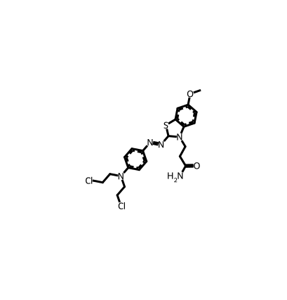 COc1ccc2c(c1)SC(N=Nc1ccc(N(CCCl)CCCl)cc1)N2CCC(N)=O